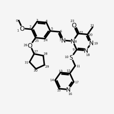 COc1ccc(C=Nn2c(SCc3cccnc3)nnc(C)c2=O)cc1OC1CCCC1